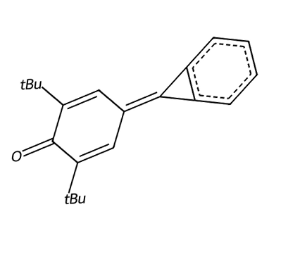 CC(C)(C)C1=CC(=C2c3ccccc32)C=C(C(C)(C)C)C1=O